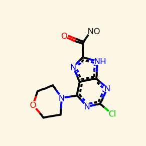 O=NC(=O)c1nc2c(N3CCOCC3)nc(Cl)nc2[nH]1